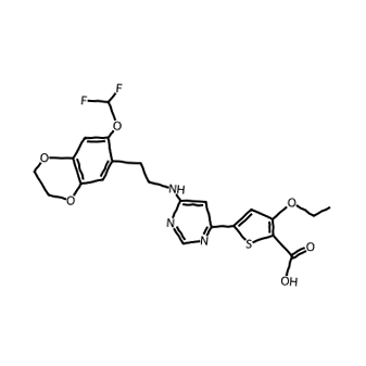 CCOc1cc(-c2cc(NCCc3cc4c(cc3OC(F)F)OCCO4)ncn2)sc1C(=O)O